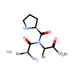 CCOC(=O)C(=O)C(C(C)C)N(C(=O)[C@@H]1CCCN1)C(=O)[C@@H](N)C(C)C.Cl